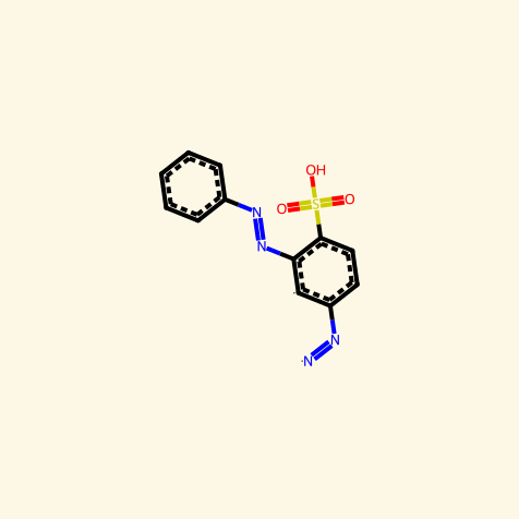 [N]=Nc1[c]c(N=Nc2ccccc2)c(S(=O)(=O)O)cc1